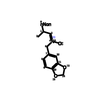 CCCCCCCCCC(C)/C=[N+](/[O-])Cc1ccc2c(c1)OCO2